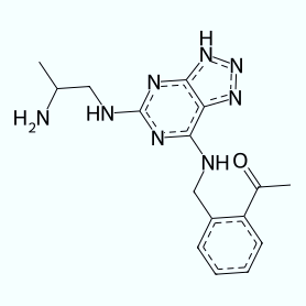 CC(=O)c1ccccc1CNc1nc(NCC(C)N)nc2[nH]nnc12